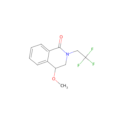 COC1CN(CC(F)(F)F)C(=O)c2ccccc21